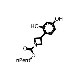 CCCCCOC(=O)N1CC(c2ccc(O)cc2O)C1